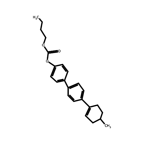 CCCCOC(=O)Oc1ccc(-c2ccc(C3=CCC(C)CC3)cc2)cc1